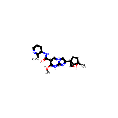 COc1ncccc1NC(=O)c1cn2cc(C34CCC(C)(C3)OC4)nc2nc1OC(C)C